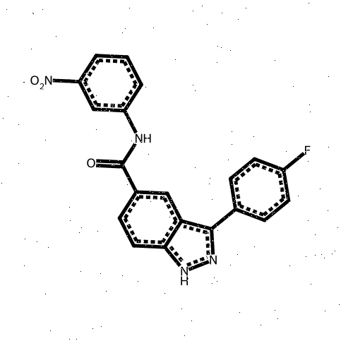 O=C(Nc1cccc([N+](=O)[O-])c1)c1ccc2[nH]nc(-c3ccc(F)cc3)c2c1